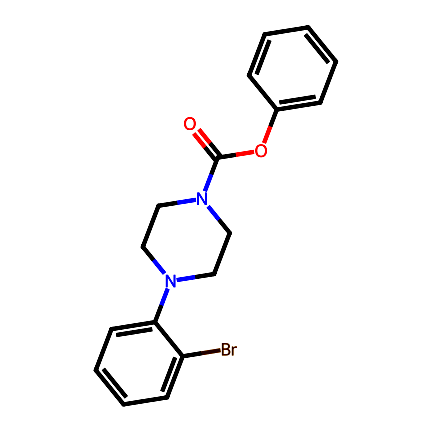 O=C(Oc1ccccc1)N1CCN(c2ccccc2Br)CC1